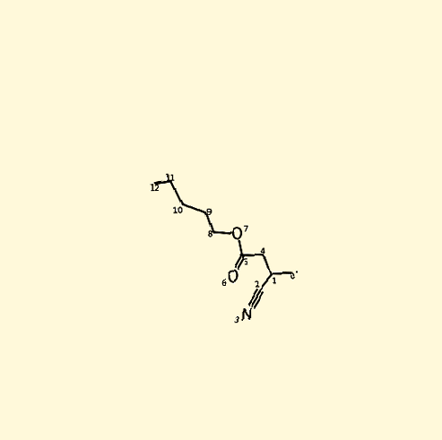 [CH2]C(C#N)CC(=O)OCCCCC